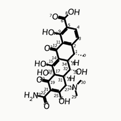 C[C@H]1c2ccc(C(=O)O)c(O)c2C(=O)C2=C(O)[C@]3(O)C(=O)C(C(N)=O)=C(O)[C@@H](N(C)C)[C@@H]3[C@@H](O)[C@@H]21